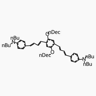 CCCCCCCCCCOc1cc(C=CC=Cc2ccc(N(CCCC)CCCC)cc2)c(OCCCCCCCCCC)cc1C=CC=Cc1ccc(N(CCCC)CCCC)cc1